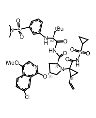 C=C[C@@H]1CC1(C(=O)NS(=O)(=O)C1CC1)N1C[C@H](Oc2ncc(OC)c3ccc(Cl)cc23)C[C@H]1C(=O)NC(=O)[C@@H](Nc1cccc(S(=O)(=O)N(C)C)c1)C(C)(C)C